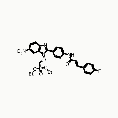 CCOP(=O)(COn1c(-c2ccc(NC(=O)C=Cc3ccc(F)cc3)cc2)nc2ccc([N+](=O)[O-])cc21)OCC